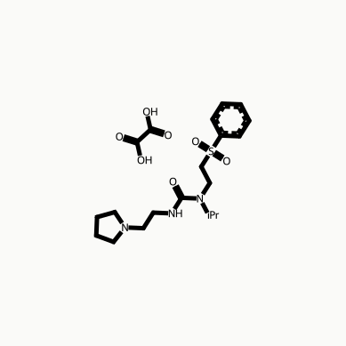 CC(C)N(CCS(=O)(=O)c1ccccc1)C(=O)NCCN1CCCC1.O=C(O)C(=O)O